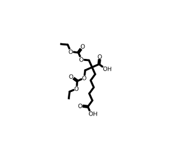 CCOC(=O)OCC(CCCCCC(=O)O)(COC(=O)OCC)C(=O)O